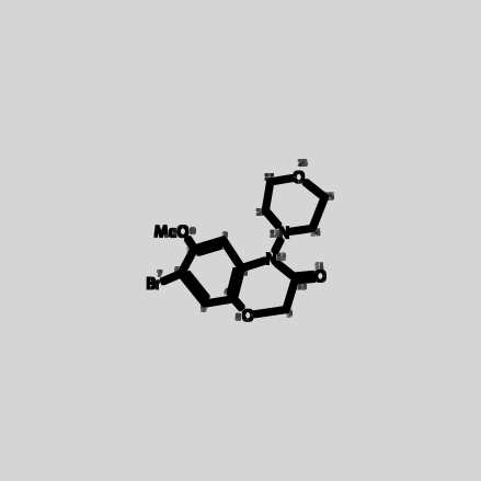 COc1cc2c(cc1Br)OCC(=O)N2N1CCOCC1